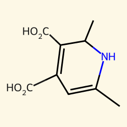 CC1=CC(C(=O)O)=C(C(=O)O)C(C)N1